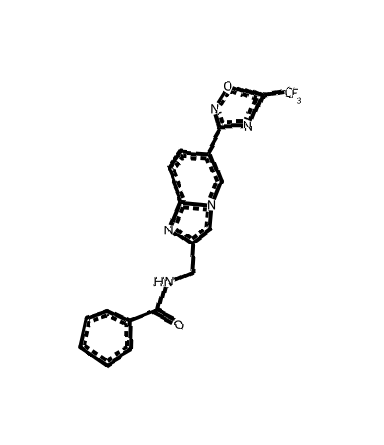 O=C(NCc1cn2cc(-c3noc(C(F)(F)F)n3)ccc2n1)c1ccccc1